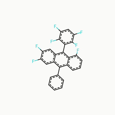 Fc1cc2c(-c3ccccc3)c3cccc(F)c3c(-c3c(F)c(F)cc(F)c3F)c2cc1F